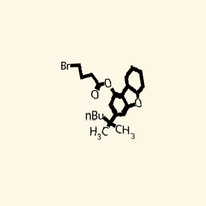 CCCCC(C)(C)c1cc(OC(=O)CCCBr)c2c(c1)OC1CCCCC21